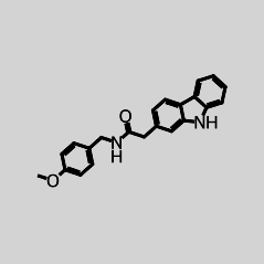 COc1ccc(CNC(=O)Cc2ccc3c(c2)[nH]c2ccccc23)cc1